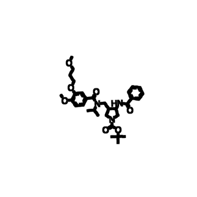 COCCCOc1cc(C(=O)N(CC2CN(C(=O)OC(C)(C)C)CC2NC(=O)c2ccccc2)C(C)C)ccc1OC